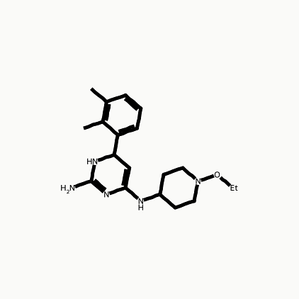 CCON1CCC(NC2=CC(c3cccc(C)c3C)NC(N)=N2)CC1